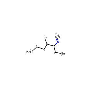 C=NC(CC(C)CC)C(CC)CCOC